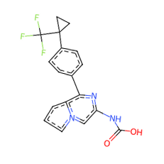 O=C(O)Nc1cn2cccc2c(-c2ccc(C3(C(F)(F)F)CC3)cc2)n1